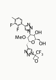 CO[C@@H]1[C@@H](n2cc(-c3ccc(C)c(F)c3F)nn2)[C@@H](O)[C@@H](CO)O[C@@H]1Cc1cn(C2(C(F)(F)F)COC2)nn1